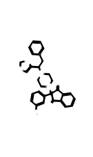 O=C1c2ccccc2C(=O)C1(c1cccc(Br)c1)N1CCN(C(Cc2ccccc2)C2=COCO2)CC1